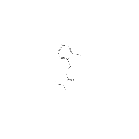 CCC(CC)C(=O)OCc1ccccc1[N+](=O)[O-]